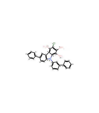 Bc1c(Cl)c(B)c2c3cc(-c4ccccc4)ccc3n(-c3cccc(-c4ccccc4)c3)c2c1B